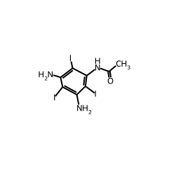 CC(=O)Nc1c(I)c(N)c(I)c(N)c1I